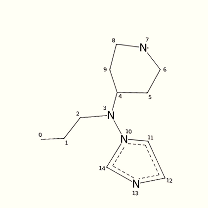 CCCN(C1CC[N]CC1)n1ccnc1